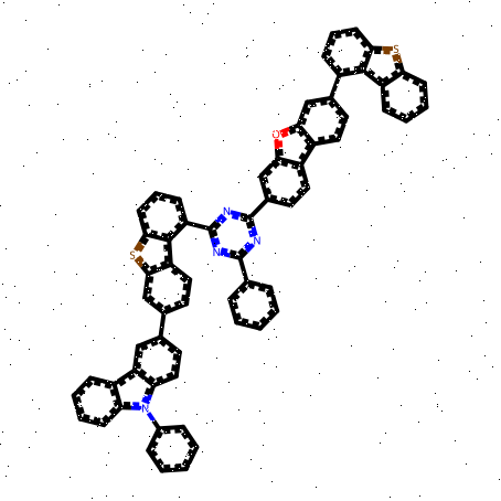 c1ccc(-c2nc(-c3ccc4c(c3)oc3cc(-c5cccc6sc7ccccc7c56)ccc34)nc(-c3cccc4sc5cc(-c6ccc7c(c6)c6ccccc6n7-c6ccccc6)ccc5c34)n2)cc1